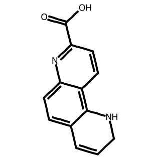 O=C(O)c1ccc2c3c(ccc2n1)C=CCN3